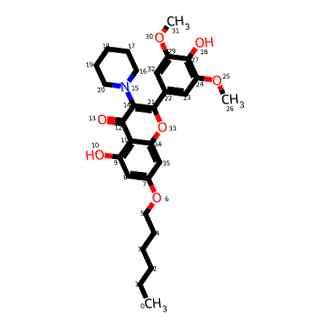 CCCCCCOc1cc(O)c2c(=O)c(N3CCCCC3)c(-c3cc(OC)c(O)c(OC)c3)oc2c1